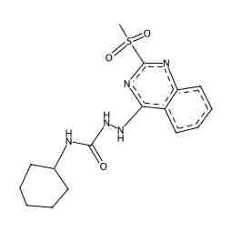 CS(=O)(=O)c1nc(NNC(=O)NC2CCCCC2)c2ccccc2n1